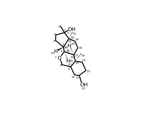 CC1(O)CC[C@H]2[C@@H]3OCC4CC(O)CC[C@]4(C)[C@@H]3CC[C@@]21C